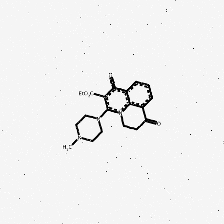 CCOC(=O)c1c(N2CCN(C)CC2)n2c3c(cccc3c1=O)C(=O)CC2